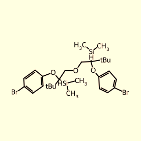 C[SiH](C)C(COCC(Oc1ccc(Br)cc1)([SiH](C)C)C(C)(C)C)(Oc1ccc(Br)cc1)C(C)(C)C